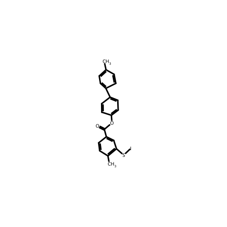 Cc1ccc(-c2ccc(OC(=O)c3ccc(C)c(SI)c3)cc2)cc1